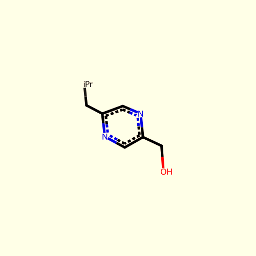 CC(C)Cc1cnc(CO)cn1